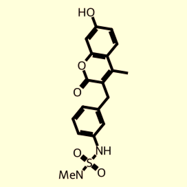 CNS(=O)(=O)Nc1cccc(Cc2c(C)c3ccc(O)cc3oc2=O)c1